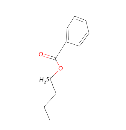 CCC[SiH2]OC(=O)c1ccccc1